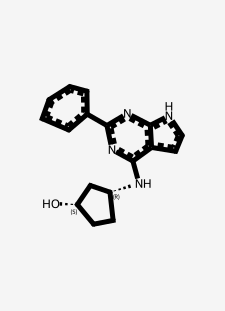 O[C@H]1CC[C@@H](Nc2nc(-c3ccccc3)nc3[nH]ccc23)C1